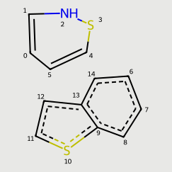 C1=CNSC=C1.c1ccc2sccc2c1